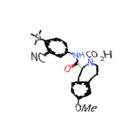 COc1ccc2c(c1)CCN(C(=O)O)[C@H]2C(=O)Nc1ccc([Si](C)(C)C)c(C#N)c1